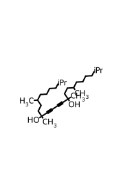 CC(C)CCCCC(C)CCC(C)(O)C#CC#CC(C)(O)CCC(C)CCCCC(C)C